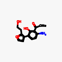 COC(=O)c1c(N)ccc(-c2ccoc2CCO)c1O